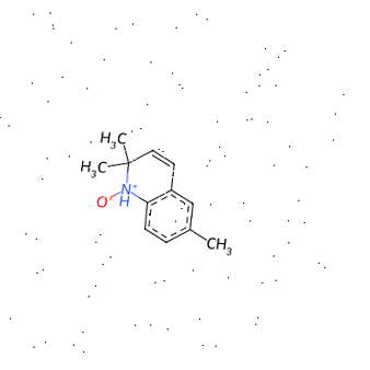 Cc1ccc2c(c1)C=CC(C)(C)[NH+]2[O-]